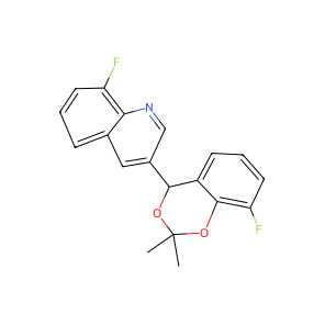 CC1(C)Oc2c(F)cccc2C(c2cnc3c(F)cccc3c2)O1